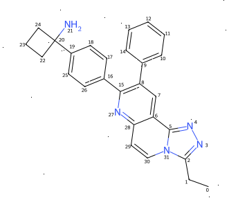 CCc1nnc2c3cc(-c4ccccc4)c(-c4ccc(C5(N)CCC5)cc4)nc3ccn12